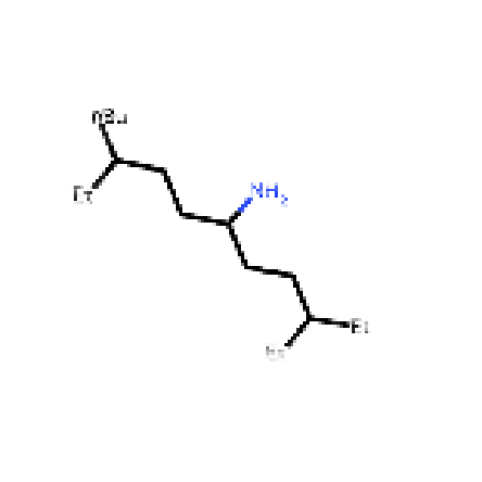 CCCCC(CC)CCC(N)CCC(CC)CC